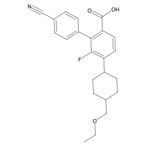 CCOCC1CCC(c2ccc(C(=O)O)c(-c3ccc(C#N)cc3)c2F)CC1